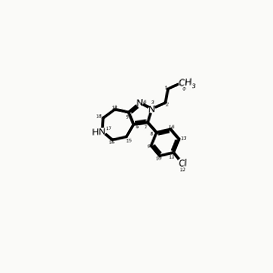 CCCn1nc2c(c1-c1ccc(Cl)cc1)CCNCC2